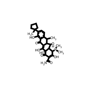 CC1c2ccc(C3(C)CCCC3)c(O)c2C(=O)C2=C(O)C3(O)C(=O)C(C(N)=O)=C(O)C(N(C)C)C3C(O)C21